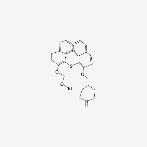 CCOCOc1ccc2ccccc2c1Sc1c(OCC2CCNCC2)ccc2ccccc12